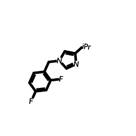 CC(C)c1cn(Cc2ccc(F)cc2F)cn1